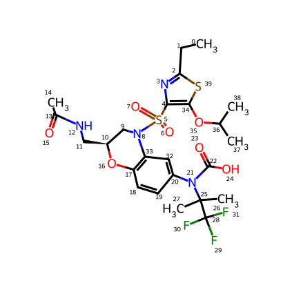 CCc1nc(S(=O)(=O)N2C[C@H](CNC(C)=O)Oc3ccc(N(C(=O)O)C(C)(C)C(F)(F)F)cc32)c(OC(C)C)s1